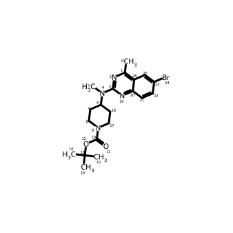 Cc1nc(N(C)C2CCN(C(=O)OC(C)(C)C)CC2)nc2ccc(Br)cc12